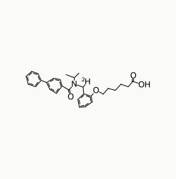 [2H]C(c1ccccc1OCCCCCC(=O)O)N(C(=O)c1ccc(-c2ccccc2)cc1)C(C)C